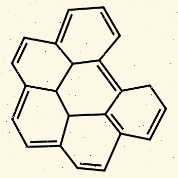 C1=CC2=C3CC=CC4=C3C3C(=CC=C5C=CC(=C1)C2C53)C=C4